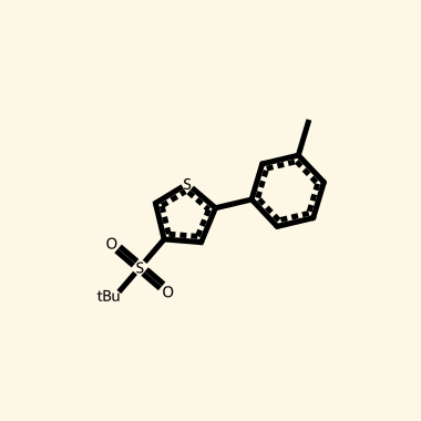 Cc1cccc(-c2cc(S(=O)(=O)C(C)(C)C)cs2)c1